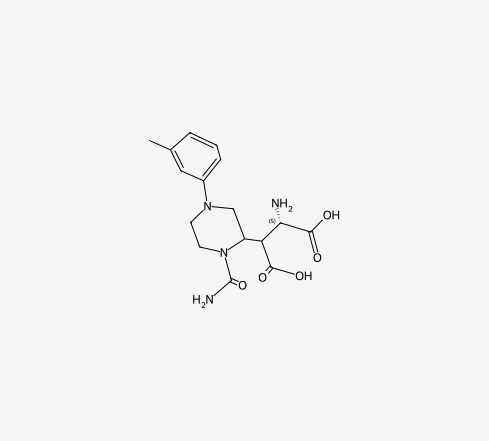 Cc1cccc(N2CCN(C(N)=O)C(C(C(=O)O)[C@H](N)C(=O)O)C2)c1